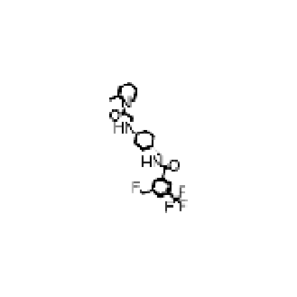 CC1CCCCN1C(=O)CN[C@H]1CC[C@@H](CNC(=O)c2cc(CF)cc(C(F)(F)F)c2)CC1